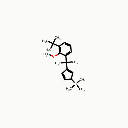 COc1c(C(C)(C)C)cccc1C(C)(C)C1=CC([Si](C)(C)C)C=C1